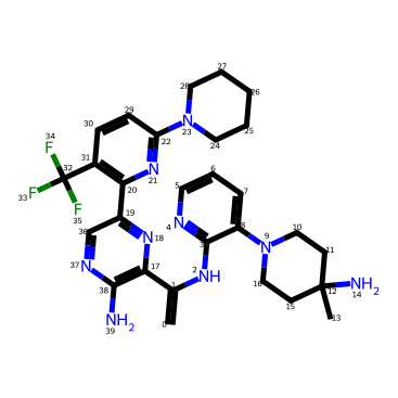 C=C(Nc1ncccc1N1CCC(C)(N)CC1)c1nc(-c2nc(N3CCCCC3)ccc2C(F)(F)F)cnc1N